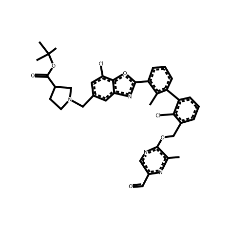 Cc1nc(C=O)cnc1OCc1cccc(-c2cccc(-c3nc4cc(CN5CCC(C(=O)OC(C)(C)C)C5)cc(Cl)c4o3)c2C)c1Cl